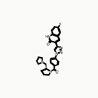 O=C(c1ccc(-n2cc(-c3cc4cc(F)ccc4[nH]c3=O)nn2)cc1)N1CCC[C@H]1CN1CCCC1